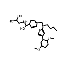 CCCCN(CC1=CCC(C(O)NCC(O)O)C=C1)c1cc(C2C=C(OC)CCC2OC)cs1